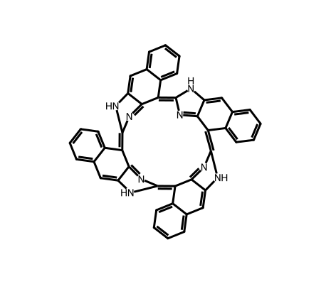 c1ccc2c(c1)cc1[nH]c3nc1c2c1nc2c(cc4ccccc4c2c2nc4c(cc5ccccc5c4c4nc5c(cc6ccccc6c35)[nH]4)[nH]2)[nH]1